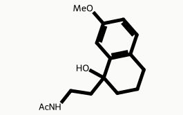 COc1ccc2c(c1)C(O)(CCNC(C)=O)CCC2